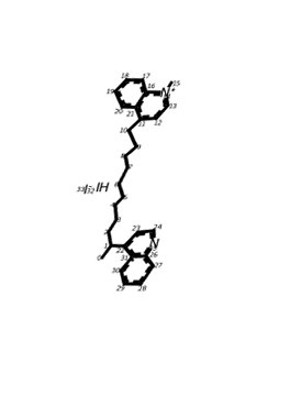 CC(CCCCCCCCCc1cc[n+](C)c2ccccc12)c1ccnc2ccccc12.I.[I-]